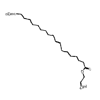 CCCCCCCCCCCCCCCCCCCCCCCCCCCC(=O)OCCO